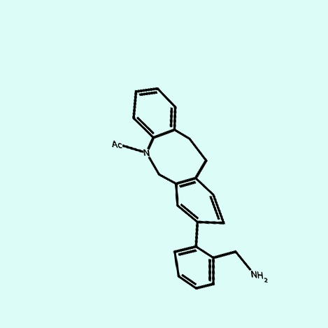 CC(=O)N1Cc2cc(-c3ccccc3CN)ccc2CCc2ccccc21